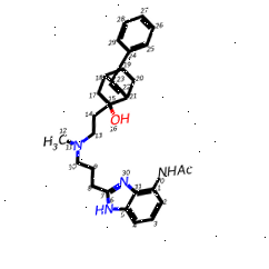 CC(=O)Nc1cccc2[nH]c(CCCN(C)CCC3(O)CC4CCC3C=C4c3ccccc3)nc12